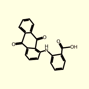 O=C(O)c1ccccc1Nc1cccc2c1C(=O)c1ccccc1C2=O